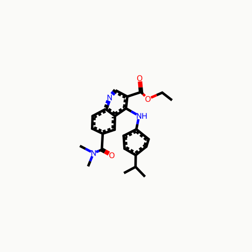 CCOC(=O)c1cnc2ccc(C(=O)N(C)C)cc2c1Nc1ccc(C(C)C)cc1